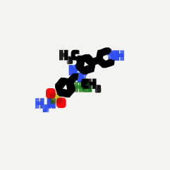 Cc1cc(C2CCNCC2)cc2c1nc(-c1ccc(S(N)(=O)=O)cc1)n2C.Cl